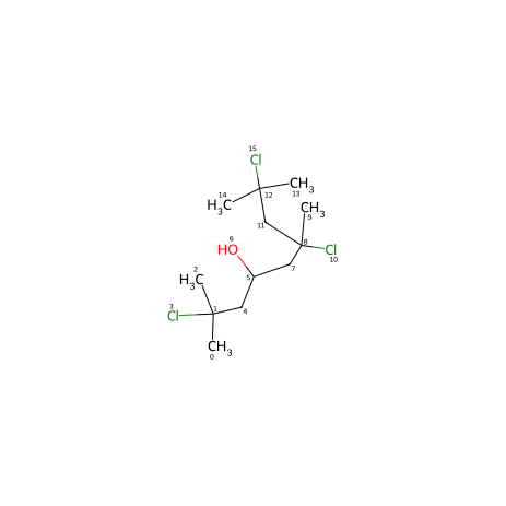 CC(C)(Cl)CC(O)CC(C)(Cl)CC(C)(C)Cl